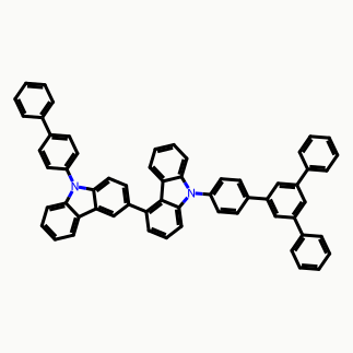 c1ccc(-c2ccc(-n3c4ccccc4c4cc(-c5cccc6c5c5ccccc5n6-c5ccc(-c6cc(-c7ccccc7)cc(-c7ccccc7)c6)cc5)ccc43)cc2)cc1